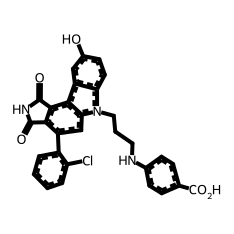 O=C(O)c1ccc(NCCCn2c3ccc(O)cc3c3c4c(c(-c5ccccc5Cl)cc32)C(=O)NC4=O)cc1